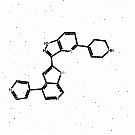 C1=C(c2ccc3[nH]nc(-c4cc5c(-c6ccncc6)cncc5[nH]4)c3n2)CCNC1